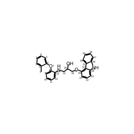 Cc1ccccc1Oc1ccccc1NCC(O)COc1cccc2[nH]c3ccccc3c12